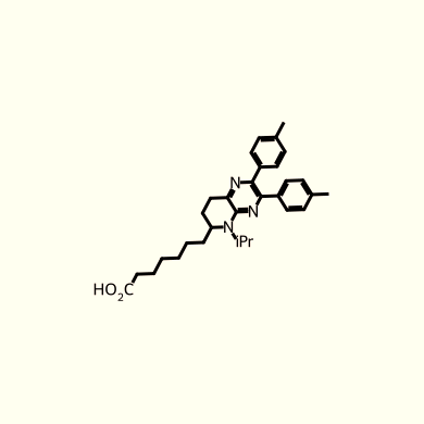 Cc1ccc(-c2nc3c(nc2-c2ccc(C)cc2)N(C(C)C)C(CCCCCCC(=O)O)CC3)cc1